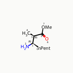 CCCCC[C@@H](N)[C@@H](C)C(=O)OC